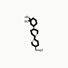 CCCCCCC[C@H]1CC[C@H]([C@H]2CC[C@H](C3CCCC(C#N)(CCCC)C3)CC2)CC1